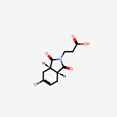 O=C(O)CCN1C(=O)[C@H]2CC(Cl)=CC[C@H]2C1=O